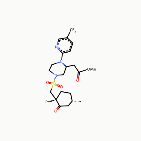 COC(=O)CC1CN(S(=O)(=O)C[C@]2(C(C)C)CC[C@H](C)CC2=O)CCN1c1ccc(C(F)(F)F)cn1